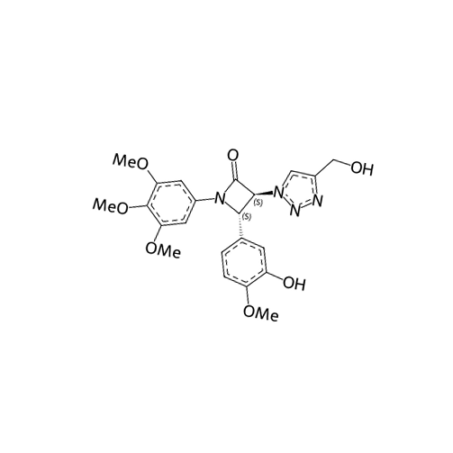 COc1ccc([C@H]2[C@H](n3cc(CO)nn3)C(=O)N2c2cc(OC)c(OC)c(OC)c2)cc1O